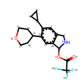 O=C(OC1NCc2cc(C3CC3)c(C3CCOCC3)cc21)C(F)(F)F